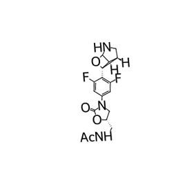 CC(=O)NC[C@H]1CN(c2cc(F)c([C@@]34OC5NC[C@H]3[C@H]54)c(F)c2)C(=O)O1